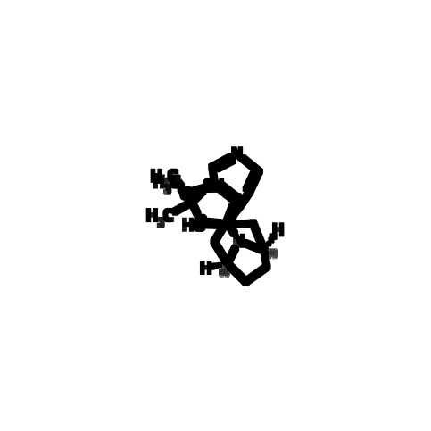 COc1cnccc1C1(O)C[C@H]2CC[C@@H](C1)N2C(=O)OC(C)(C)C